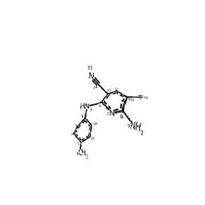 Cc1ccc(Nc2nc(N)c(F)cc2C#N)cc1